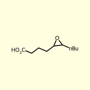 CCCCC1OC1CCCC(=O)O